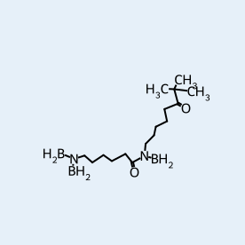 BN(B)CCCCCC(=O)N(B)CCCCCC(=O)C(C)(C)C